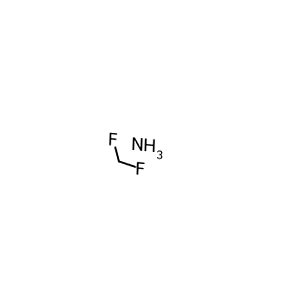 FCF.N